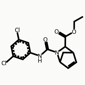 CCOC(=O)C1C2C=CC(C2)N1C(=O)Nc1cc(Cl)cc(Cl)c1